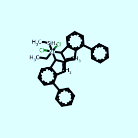 C[CH2][Zr]([Cl])([Cl])([SiH2]C)([CH]1C(C)=Cc2c(-c3ccccc3)cccc21)[CH]1C(C)=Cc2c(-c3ccccc3)cccc21